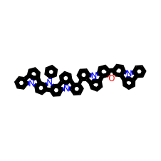 c1ccc(-n2c3c(ccc4c3c3cccc5c6ccccc6n4c53)c3ccc4c(c5cccc6c7c(-c8cccc9c8c8cccc%10c%11c%12oc%13c(ccc%14c%13c%13cccc%15c%16ccccc%16n%14c%15%13)c%12ccc%11n9c8%10)cccc7n4c65)c32)cc1